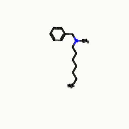 CCCCCCCN(C)Cc1ccccc1